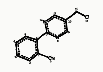 N#Cc1ccccc1-c1ncc(CCl)cn1